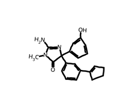 CN1C(=O)C(c2cccc(O)c2)(c2cccc(C3=CCCC3)c2)N=C1N